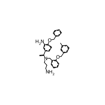 C=C(c1ccc(OCc2ccccc2)c(N)c1)N(CCCN)Cc1ccccc1OCc1cccc(C)c1